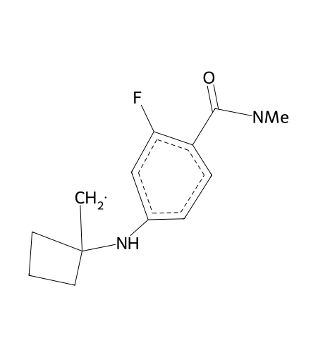 [CH2]C1(Nc2ccc(C(=O)NC)c(F)c2)CCC1